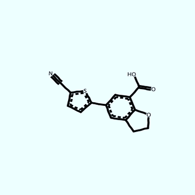 N#Cc1ccc(-c2cc3c(c(C(=O)O)c2)OCC3)s1